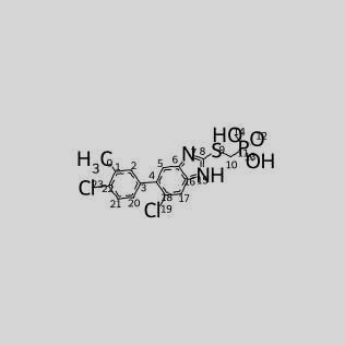 Cc1cc(-c2cc3nc(SCP(=O)(O)O)[nH]c3cc2Cl)ccc1Cl